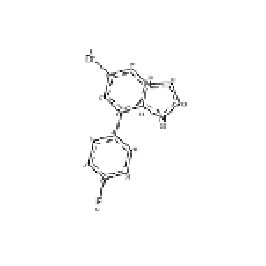 Fc1ccc(-c2cc(Br)cn3ccnc23)cc1